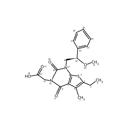 CCc1sc2c(c1C)c(=O)n(CC(=O)O)c(=O)n2C[C@H](OC)c1ccccc1